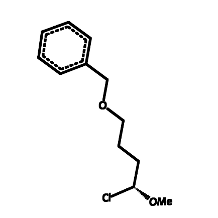 CO[C@H](Cl)CCCOCc1ccccc1